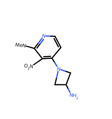 CNc1nccc(N2CC(N)C2)c1[N+](=O)[O-]